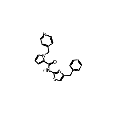 O=C(Nc1nc(Cc2ccccc2)cs1)c1cccn1Cc1ccncc1